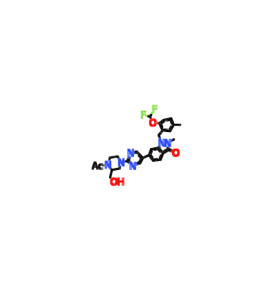 CC(=O)N1CCN(c2ncc(-c3ccc4c(=O)n(C)n(Cc5cc(C)ccc5OC(F)F)c4c3)cn2)CC1CO